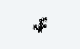 Cc1nc2cc(-c3ccccc3)c(-c3ccc(C4(NC(=O)OC(C)(C)C)CCC4)cc3)nn2c1C=CC(N)=O